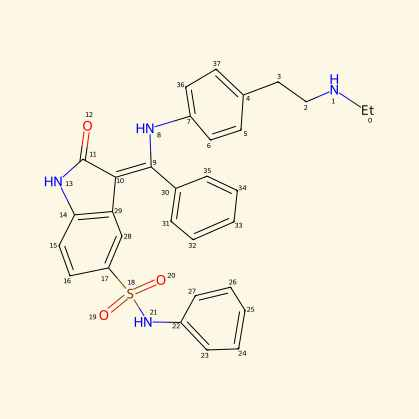 CCNCCc1ccc(N/C(=C2\C(=O)Nc3ccc(S(=O)(=O)Nc4ccccc4)cc32)c2ccccc2)cc1